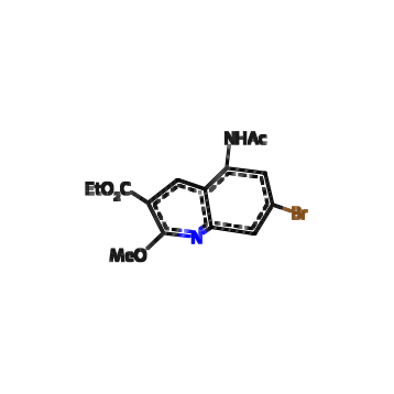 CCOC(=O)c1cc2c(NC(C)=O)cc(Br)cc2nc1OC